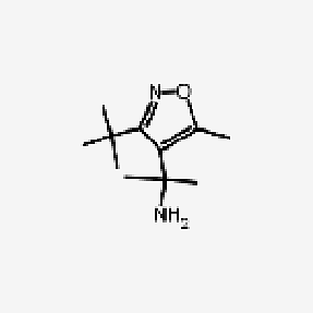 Cc1onc(C(C)(C)C)c1C(C)(C)N